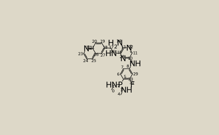 CNP(NC)c1ccc(Nc2cnc(N)c(NCc3ccc4ncccc4c3)n2)cc1F